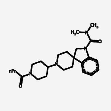 CCCC(=O)N1CCC(N2CCC3(CC2)CN(C(=O)N(C)C)c2ccccc23)CC1